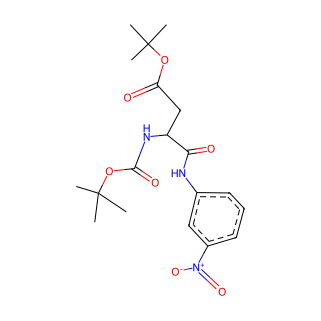 CC(C)(C)OC(=O)CC(NC(=O)OC(C)(C)C)C(=O)Nc1cccc([N+](=O)[O-])c1